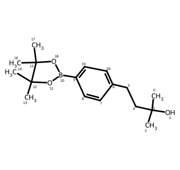 CC(C)(O)CCc1ccc(B2OC(C)(C)C(C)(C)O2)cc1